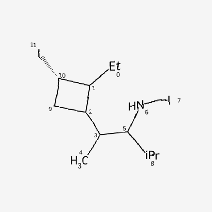 CCC1C(C(C)C(NI)C(C)C)C[C@@H]1I